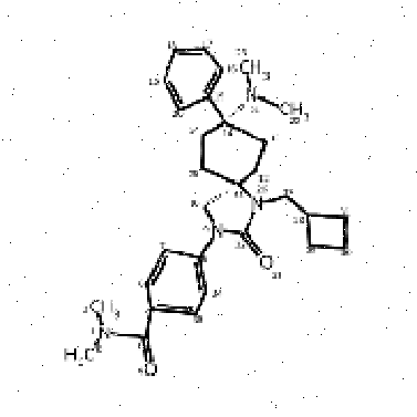 CN(C)C(=O)c1ccc(N2C[C@]3(CC[C@@](c4ccccc4)(N(C)C)CC3)N(CC3CCC3)C2=O)cc1